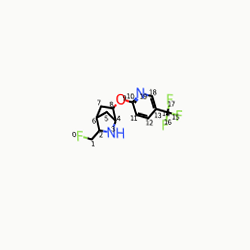 FCC1NC2CC1CC2Oc1ccc(C(F)(F)F)cn1